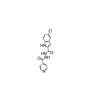 O=C(NNC(=O)c1cc2cc(Cl)ccc2[nH]1)c1ccncc1